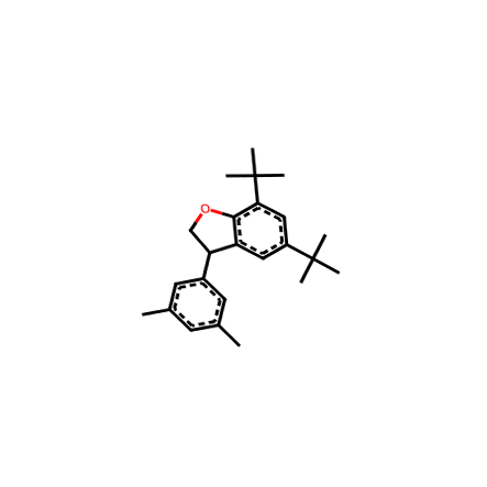 Cc1cc(C)cc(C2COc3c2cc(C(C)(C)C)cc3C(C)(C)C)c1